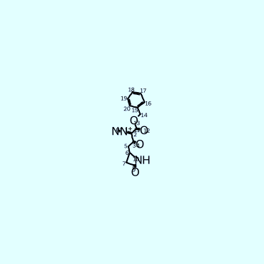 [N-]=[N+]=C(C(=O)CC1CC(=O)N1)C(=O)OCc1ccccc1